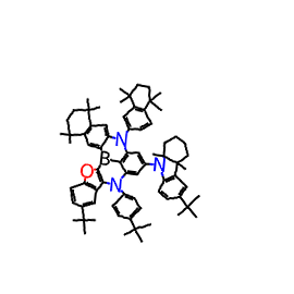 CC(C)(C)c1ccc(N2c3cc(N4c5ccc(C(C)(C)C)cc5C5(C)CCCCC45C)cc4c3B(c3cc5c(cc3N4c3ccc4c(c3)C(C)(C)CCC4(C)C)C(C)(C)CCC5(C)C)c3oc4ccc(C(C)(C)C)cc4c32)cc1